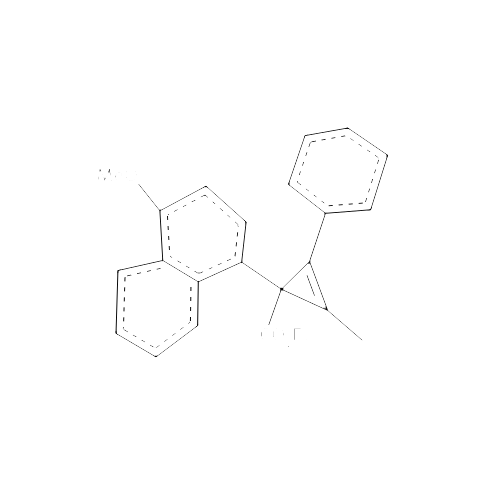 CCOC(=O)C1(c2ccc(OC)c3ccccc23)C(C)=C1c1ccccc1